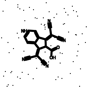 N.N#CC(C#N)=C1c2ccccc2C(=C(C#N)C#N)C1C(=O)O